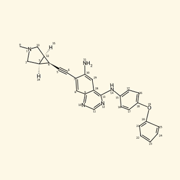 CN1C[C@@H]2[C@H](C#Cc3cc4ncnc(Nc5ccc(Oc6ccccc6)cc5)c4cc3N)[C@@H]2C1